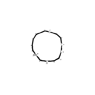 C1CCCCCCCNCCCCCC1